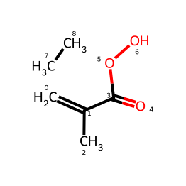 C=C(C)C(=O)OO.CC